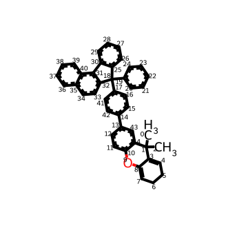 CC1(C)C2=CCCC=C2Oc2ccc(-c3ccc(C4(c5ccccc5)c5ccccc5-c5c4ccc4ccccc54)cc3)cc21